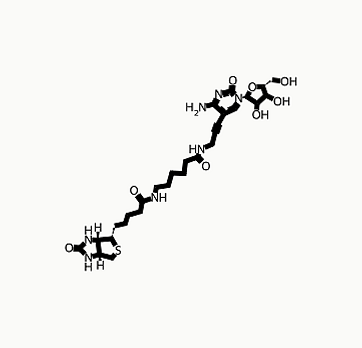 Nc1nc(=O)n([C@@H]2O[C@H](CO)C(O)C2O)cc1C#CCNC(=O)CCCCCNC(=O)CCCC[C@@H]1SC[C@@H]2NC(=O)N[C@@H]21